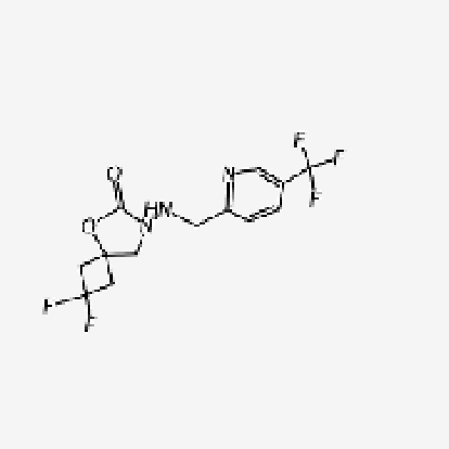 O=C1OC2(CN1NCc1ccc(C(F)(F)F)cn1)CC(F)(F)C2